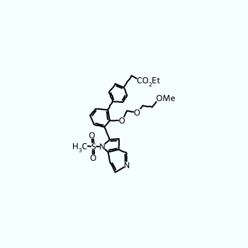 CCOC(=O)Cc1ccc(-c2cccc(-c3cc4cnccc4n3S(C)(=O)=O)c2OCOCCOC)cc1